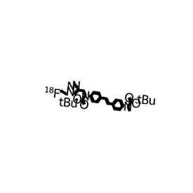 CN(C(=O)OC(C)(C)C)c1ccc(/C=C/c2ccc(N(Cc3cn(CC[18F])nn3)C(=O)OC(C)(C)C)cc2)cc1